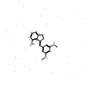 COc1cc(/C=C2\CCc3cccc(O)c32)cc(OC)c1